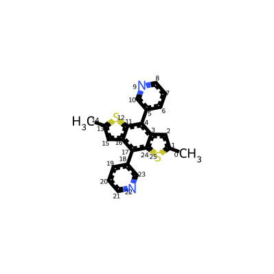 Cc1cc2c(-c3cccnc3)c3sc(C)cc3c(-c3cccnc3)c2s1